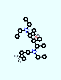 CC1(C)c2ccccc2-c2c(-c3ccc(-c4nc(-c5cccc(-c6ccccc6)c5)nc(-c5cc(-c6ccccc6)cc(-c6ccc(-c7ccc(-c8nc(-c9cccc(-c%10ccccc%10)c9)nc(-c9cccc(-c%10ccccc%10)c9)n8)c8c7C(C)(C)c7ccccc7-8)c7oc8ccccc8c67)c5)n4)cc3)cccc21